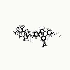 COC(=O)N[C@H](C(=O)N1CCC[C@H]1C(=O)Nc1ccc([C@H]2CC[C@H](c3ccc(N)cc3)N2c2ccc(C3CC3)cc2)cc1)C(C)C